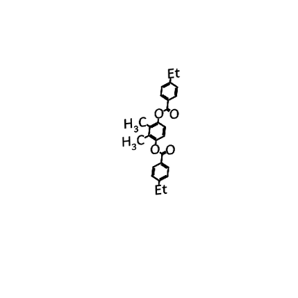 CCc1ccc(C(=O)Oc2ccc(OC(=O)c3ccc(CC)cc3)c(C)c2C)cc1